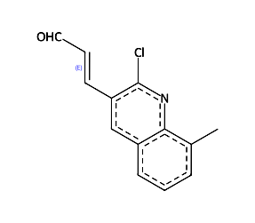 Cc1cccc2cc(/C=C/C=O)c(Cl)nc12